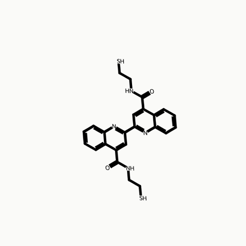 O=C(NCCS)c1cc(-c2cc(C(=O)NCCS)c3ccccc3n2)nc2ccccc12